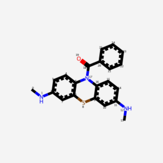 CNc1ccc2c(c1)Sc1cc(NC)ccc1N2C(=O)c1ccccc1